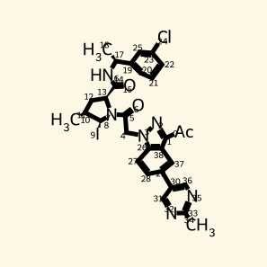 CC(=O)c1nn(CC(=O)N2[C@H](I)[C@@H](C)C[C@H]2C(=O)N[C@@H](C)c2cccc(Cl)c2)c2ccc(-c3cnc(C)nc3)cc12